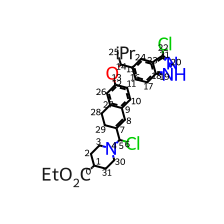 CCOC(=O)C1CCN(C(Cl)C2=Cc3ccc(OC(c4ccc5[nH]nc(Cl)c5c4)C(C)C)cc3CC2)CC1